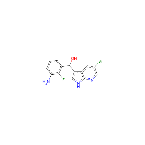 Nc1cccc(C(O)c2c[nH]c3ncc(Br)cc23)c1F